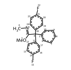 CN=C(OC)C(c1ccccc1)(c1ccc(F)cc1)c1ccc(F)cc1